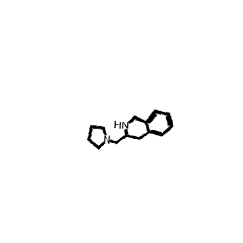 c1ccc2c(c1)CNC(CN1CCCC1)C2